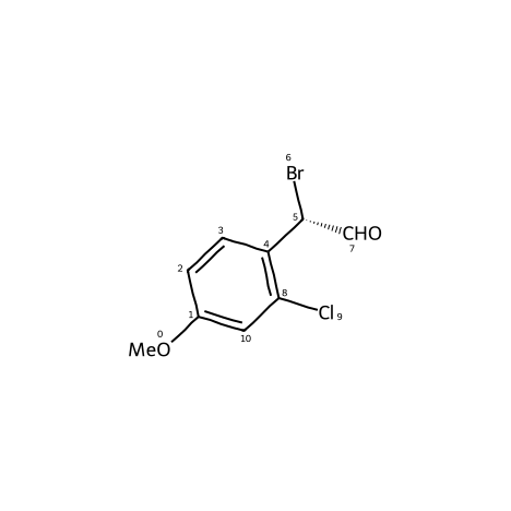 COc1ccc([C@H](Br)C=O)c(Cl)c1